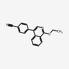 CCOc1ncc(-c2ccc(C#N)cc2)c2ccccc12